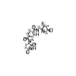 O=C1CCC(N2Cc3cc(C(=O)NCc4ncc(Cl)cc4F)ccc3C2=O)C(=O)N1